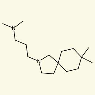 CN(C)CCCN1CCC2(CCC(C)(C)CC2)C1